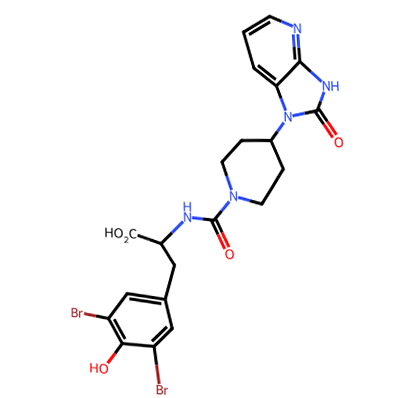 O=C(O)C(Cc1cc(Br)c(O)c(Br)c1)NC(=O)N1CCC(n2c(=O)[nH]c3ncccc32)CC1